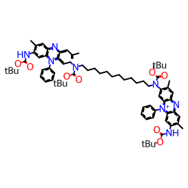 C=C(C)/C=c1/nc2cc(C)c(NC(=O)OC(C)(C)C)cc2[n+](-c2ccccc2)/c1=C/CN(CCCCCCCCCCCCN(C(=O)OC(C)(C)C)c1cc2c(cc1C)nc1cc(C)c(NC(=O)OC(C)(C)C)cc1[n+]2-c1ccccc1)C(=O)OC(C)(C)C